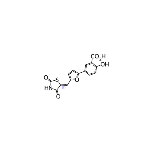 O=C1NC(=O)/C(=C/c2ccc(-c3ccc(O)c(C(=O)O)c3)o2)S1